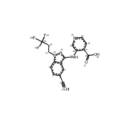 C#Cc1ccc2c(c1)c(Nc1cnccc1C(=O)O)nn2CCC(F)(F)F